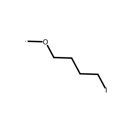 [CH2]OCCCCI